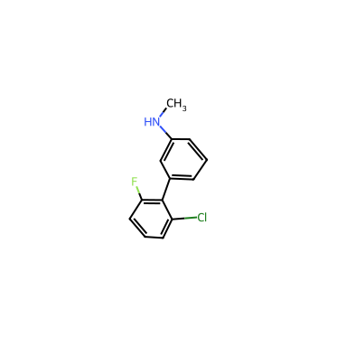 CNc1cccc(-c2c(F)cccc2Cl)c1